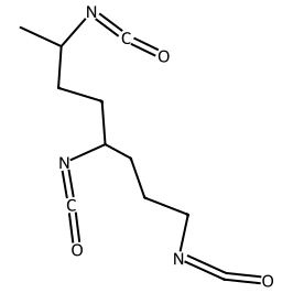 CC(CCC(CCCN=C=O)N=C=O)N=C=O